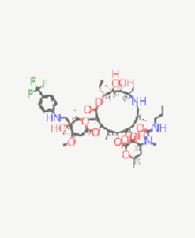 CCCNC(=O)N(C)[C@H]1C[C@@H](C)O[C@@H](O[C@@H]2[C@@H](C)[C@H](O[C@H]3C[C@@](C)(OC)[C@](O)(CNc4ccc(C(F)(F)F)cc4)[C@H](C)O3)[C@@H](C)C(=O)O[C@H](CC)[C@@](C)(O)[C@H](O)[C@@H](C)NC[C@H](C)C[C@@]2(C)O)[C@@H]1O